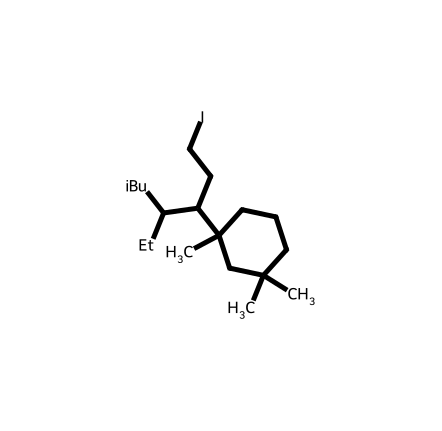 CCC(C)C(CC)C(CCI)C1(C)CCCC(C)(C)C1